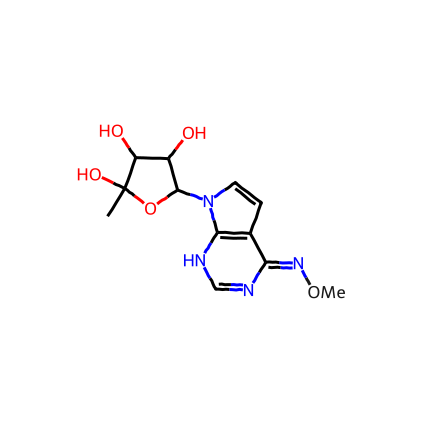 CO/N=c1\nc[nH]c2c1ccn2C1OC(C)(O)C(O)C1O